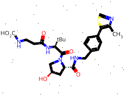 Cc1ncsc1-c1ccc(CNC(=O)[C@@H]2C[C@@H](O)CN2C(=O)[C@@H](NC(=O)CCNC(=O)O)C(C)(C)C)cc1